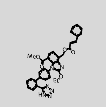 CCOc1nc2c(COC(=O)/C=C/c3ccccc3)ccc(C(=O)OC)c2n1-c1ccc(-c2ccccc2-c2nnn[nH]2)cc1